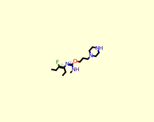 CC/C(F)=C(CC)/N=C(\NC)OCCCN1CCNCC1